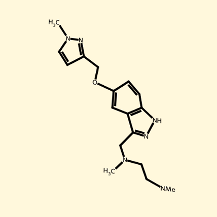 CNCCN(C)Cc1n[nH]c2ccc(OCc3ccn(C)n3)cc12